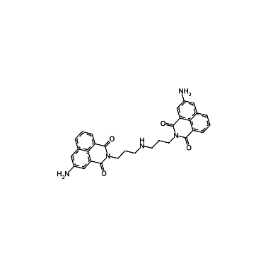 Nc1cc2c3c(cccc3c1)C(=O)N(CCCNCCCN1C(=O)c3cccc4cc(N)cc(c34)C1=O)C2=O